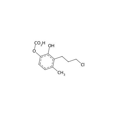 Cc1ccc(OC(=O)O)c(O)c1CCCCl